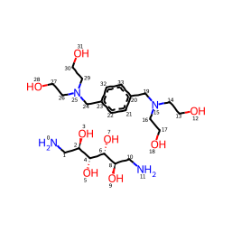 NC[C@@H](O)[C@@H](O)[C@H](O)[C@H](O)CN.OCCN(CCO)Cc1ccc(CN(CCO)CCO)cc1